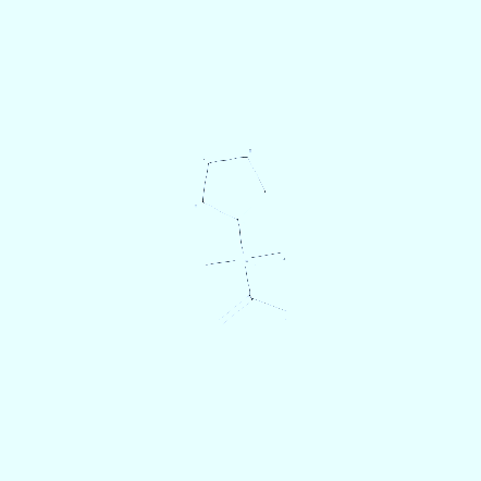 C=C(C)[Si](C)(C)C1CCCC1